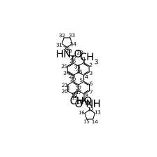 Cc1ccc2c3ccc(C(=O)NC4CCCC4)c4c(C=O)ccc(c5ccc(C(=O)NC6CCCC6)c1c52)c43